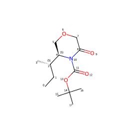 CC[C@H](C)[C@H]1COCC(=O)N1C(=O)OC(C)(C)C